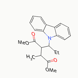 CCC(C(C(=O)OC)C(C)C(=O)OC)n1c2ccccc2c2ccccc21